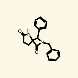 O=C1CCC2(N1)C(=O)N(Cc1ccccc1)C2c1ccccc1